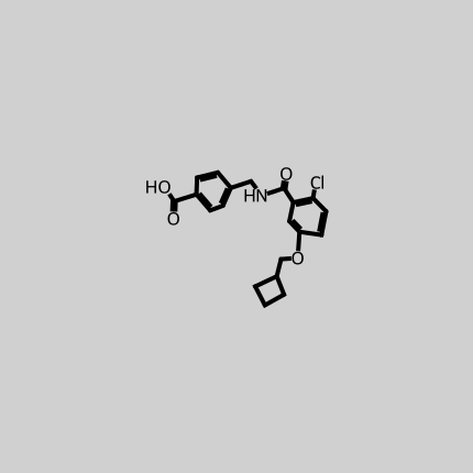 O=C(O)c1ccc(CNC(=O)c2cc(OCC3CCC3)ccc2Cl)cc1